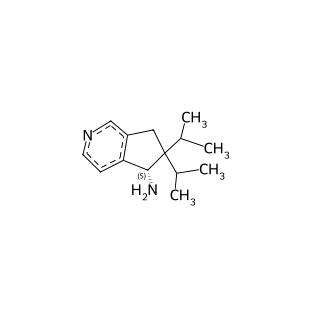 CC(C)C1(C(C)C)Cc2cnccc2[C@H]1N